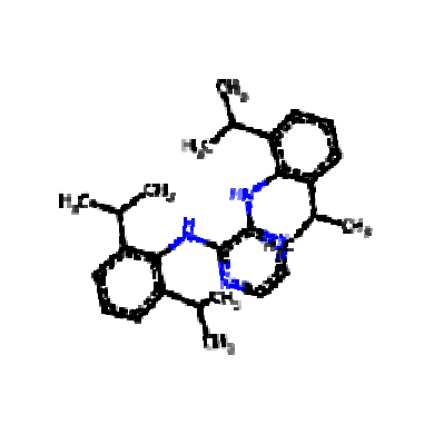 CC(C)c1cccc(C(C)C)c1Nc1nccnc1Nc1c(C(C)C)cccc1C(C)C